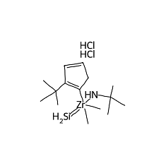 CC(C)(C)[NH][Zr]([CH3])([CH3])(=[SiH2])[C]1=C(C(C)(C)C)C=CC1.Cl.Cl